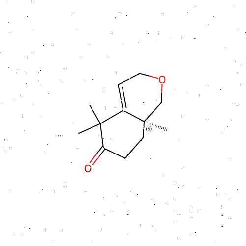 CC1(C)C(=O)CC[C@]2(C)COCC=C12